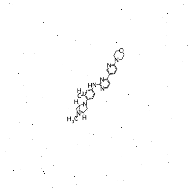 Cc1cc(Nc2nccc(-c3ccc(N4CCOCC4)nc3)n2)ccc1N1C[C@@H]2C[C@H]1CN2C